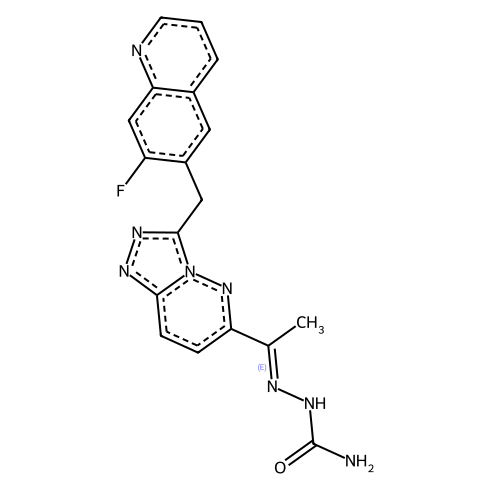 C/C(=N\NC(N)=O)c1ccc2nnc(Cc3cc4cccnc4cc3F)n2n1